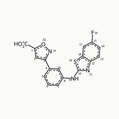 O=C(O)c1cc(-c2cccc(Nc3nc4ccc(F)cc4s3)c2)no1